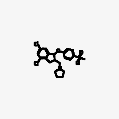 CS(=O)(=O)c1ccc(OC2c3cc(Cl)cc(Cl)c3CC2CN2CCCC2)cc1